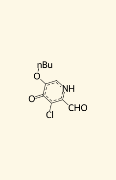 CCCCOc1c[nH]c(C=O)c(Cl)c1=O